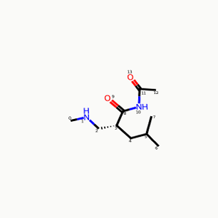 CNC[C@@H](CC(C)C)C(=O)NC(C)=O